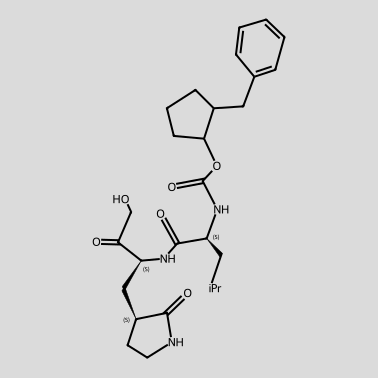 CC(C)C[C@H](NC(=O)OC1CCCC1Cc1ccccc1)C(=O)N[C@@H](C[C@@H]1CCNC1=O)C(=O)CO